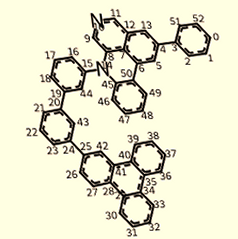 c1ccc(-c2cc3c4c(cncc4c2)N(c2cccc(-c4cccc(-c5ccc6c7ccccc7c7ccccc7c6c5)c4)c2)c2ccccc2-3)cc1